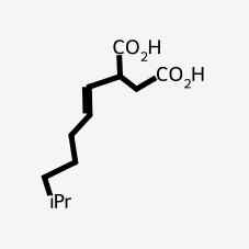 CC(C)CCCC=CC(CC(=O)O)C(=O)O